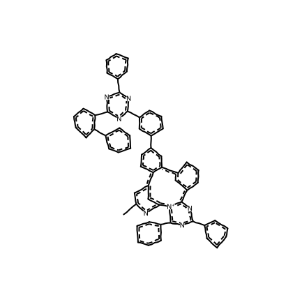 Cc1cc2cc(n1)[n+]1c(-c3ccccc3)nc(-c3ccccc3)nc1c1cccc(c1)c1cc(-c3cccc(-c4nc(-c5ccccc5)nc(-c5ccccc5-c5ccccc5)n4)c3)ccc21